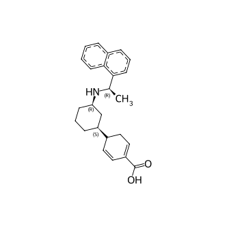 C[C@@H](N[C@@H]1CCC[C@H](C2C=CC(C(=O)O)=CC2)C1)c1cccc2ccccc12